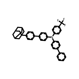 FC(F)(F)c1ccc(N(c2ccc(-c3ccccc3)cc2)c2ccc(-c3ccc(C45CC6CC(CC(C6)C4)C5)cc3)cc2)cc1